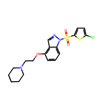 O=S(=O)(c1ccc(Cl)s1)n1ncc2c(OCCN3CCCCC3)cccc21